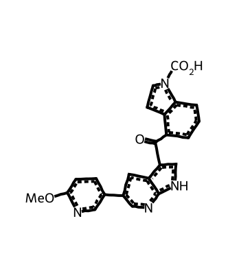 COc1ccc(-c2cnc3[nH]cc(C(=O)c4cccc5c4ccn5C(=O)O)c3c2)cn1